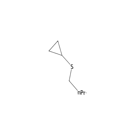 CC[CH]CSC1CC1